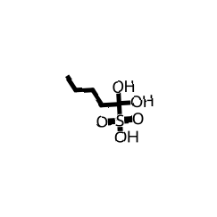 CCCCC(O)(O)S(=O)(=O)O